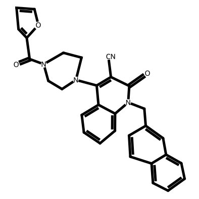 N#Cc1c(N2CCN(C(=O)c3ccco3)CC2)c2ccccc2n(Cc2ccc3ccccc3c2)c1=O